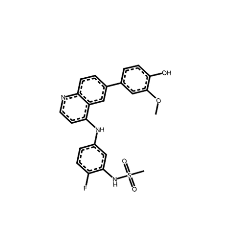 COc1cc(-c2ccc3nccc(Nc4ccc(F)c(NS(C)(=O)=O)c4)c3c2)ccc1O